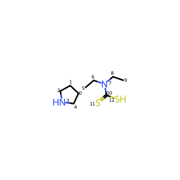 C1CCNC1.CCN(CC)C(=S)S